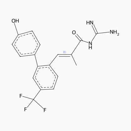 C/C(=C\c1ccc(C(F)(F)F)cc1-c1ccc(O)cc1)C(=O)NC(=N)N